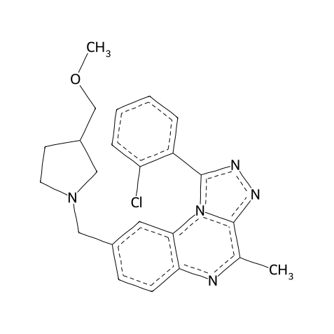 COCC1CCN(Cc2ccc3nc(C)c4nnc(-c5ccccc5Cl)n4c3c2)C1